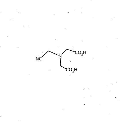 N#CCN(CC(=O)O)CC(=O)O